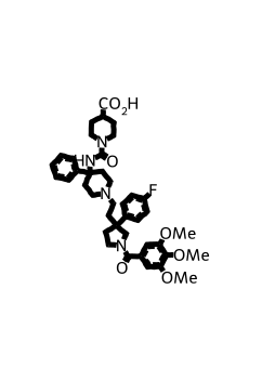 COc1cc(C(=O)N2CCC(CCN3CCC(NC(=O)N4CCC(C(=O)O)CC4)(c4ccccc4)CC3)(c3ccc(F)cc3)C2)cc(OC)c1OC